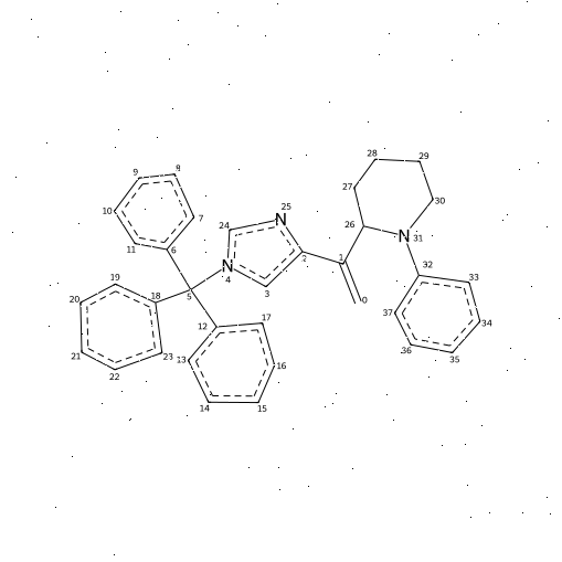 C=C(c1cn(C(c2ccccc2)(c2ccccc2)c2ccccc2)cn1)C1CCCCN1c1ccccc1